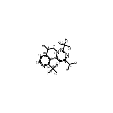 CC(C)c1cc[n+](CC(C)c2ccnc(C(C)(F)F)c2)c(C(C)(C)F)n1